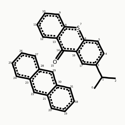 CC(C)c1ccc2sc3ccccc3c(=O)c2c1.c1ccc2cc3ccccc3cc2c1